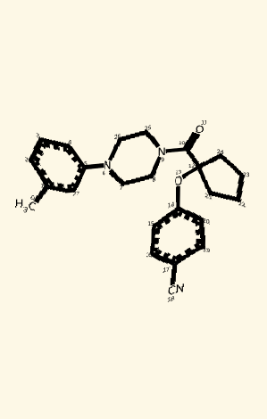 Cc1cccc(N2CCN(C(=O)C3(Oc4ccc(C#N)cc4)CCCC3)CC2)c1